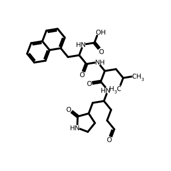 CC(C)CC(NC(=O)C(Cc1cccc2ccccc12)NC(=O)O)C(=O)NC(CCC=O)CC1CCNC1=O